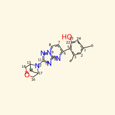 Cc1cc(C)c(-c2ccn3nc(N4C5COCC4C5)nc3n2)c(O)c1